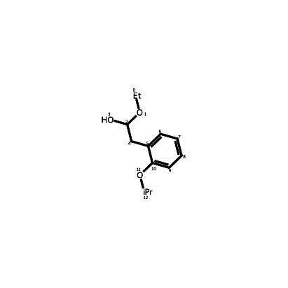 CCOC(O)Cc1ccccc1OC(C)C